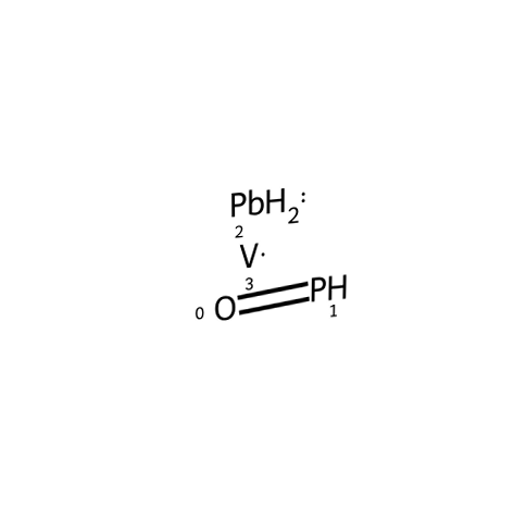 O=P.[PbH2].[V]